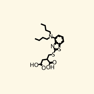 CCCCN(CCCC)c1cccc2sc(SCC(CC(=O)O)C(=O)O)nc12